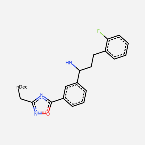 CCCCCCCCCCCc1noc(-c2cccc(C([NH])CCc3ccccc3F)c2)n1